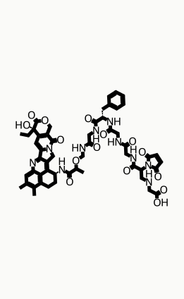 CC[C@@]1(O)C(=O)OCc2c1cc1n(c2=O)Cc2c-1nc1cc(C)c(C)c3c1c2[C@H](NC(=O)C(C)OCNC(=O)CNC(=O)[C@H](Cc1ccccc1)NC(=O)CNC(=O)CNC(=O)C(CNCC(=O)O)N1C(=O)C=CC1=O)CC3